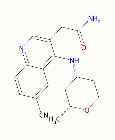 C[C@@H]1C[C@H](Nc2c(CC(N)=O)cnc3ccc(C#N)cc23)CCO1